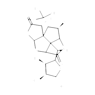 C[C@@H]1[C@@H](O)OC([C@H](O)C23C4OC5OC(=O)[C@H](O)C52[C@H](C(C)(C)C)[C@@H](O)C3OC4=O)[C@@H]1O